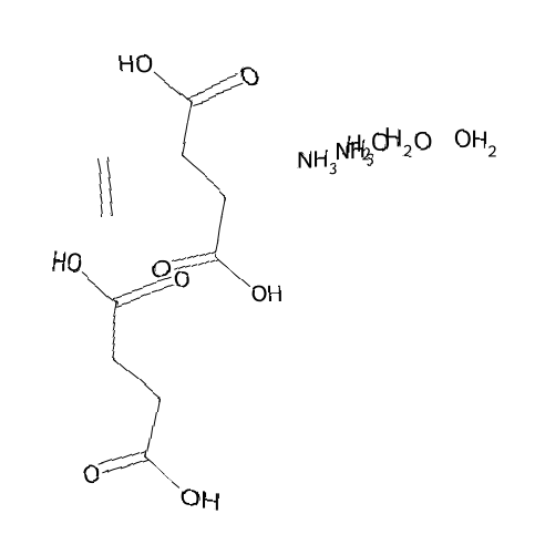 C=C.N.N.O.O.O.O=C(O)CCC(=O)O.O=C(O)CCC(=O)O